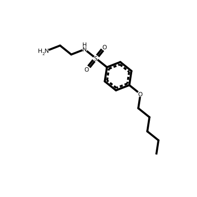 CCCCCOc1ccc(S(=O)(=O)NCCN)cc1